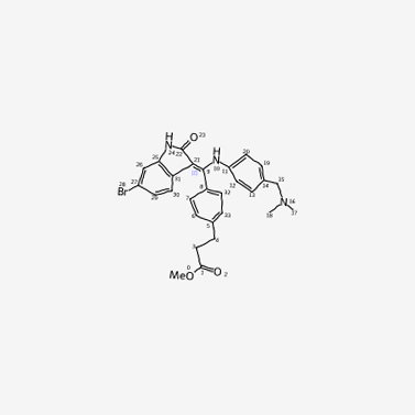 COC(=O)CCc1ccc(/C(Nc2ccc(CN(C)C)cc2)=C2/C(=O)Nc3cc(Br)ccc32)cc1